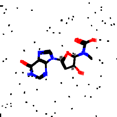 CN(C(=O)O)[C@@H]1O[C@@H](n2cnc3c(=O)[nH]cnc32)C[C@H]1O